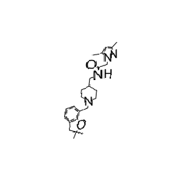 Cc1cc(C)n(CC(=O)NCC2CCN(Cc3cccc4c3OC(C)(C)C4)CC2)n1